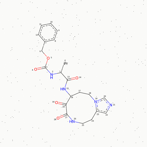 CC(C)C(NC(=O)OCc1ccccc1)C(=O)NC1CCn2cncc2CCNC(=O)C1=O